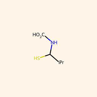 CC(C)C(S)NC(=O)O